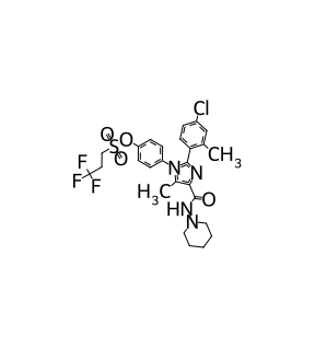 Cc1cc(Cl)ccc1-c1nc(C(=O)NN2CCCCC2)c(C)n1-c1ccc(OS(=O)(=O)CCC(F)(F)F)cc1